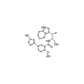 CCCOc1ccc(-c2ccc(C#N)s2)cc1C(=O)NC(CO)[C@H](C)c1c[nH]c2ccccc12